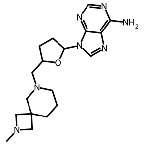 CN1CC2(CCCN(CC3CCC(n4cnc5c(N)ncnc54)O3)C2)C1